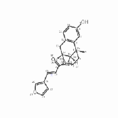 CN1CC[C@@]2(C)c3cc(O)ccc3C[C@@H]1[C@H]2NC(=O)/C=C/c1ccoc1